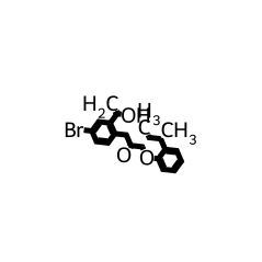 C=C(O)c1cc(Br)ccc1CC(=O)COc1ccccc1C(C)CC